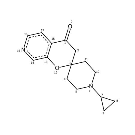 O=C1CC2(CCN(C3CC3)CC2)Oc2cnccc21